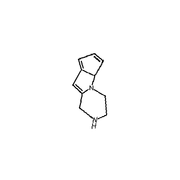 C1=CC2C(=C1)C=C1CNCCN12